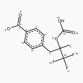 CC(Cc1ccc([N+](=O)[O-])cc1)(OC(=O)O)C(F)(F)F